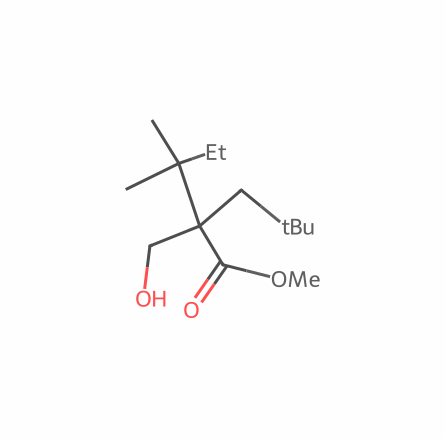 CCC(C)(C)C(CO)(CC(C)(C)C)C(=O)OC